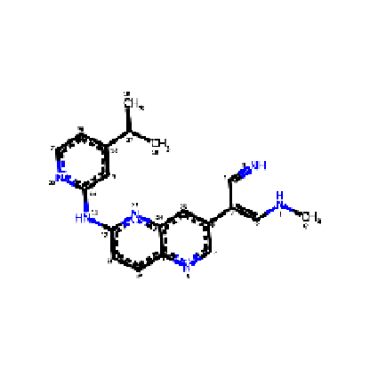 CN/C=C(\C=N)c1cnc2ccc(Nc3cc(C(C)C)ccn3)nc2c1